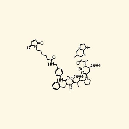 CC[C@H](C)[C@@H]([C@@H](CC(=O)N1CCC[C@H]1[C@H](OC)[C@@H](C)C(=O)N[C@@H](Cc1ccccc1)C(=O)Nc1ccc(CNC(=O)CCCCCN2C(=O)C=CC2=O)cc1)OC)N(C)C(=O)[C@H]1N=C2N(C)CCN2CC1C